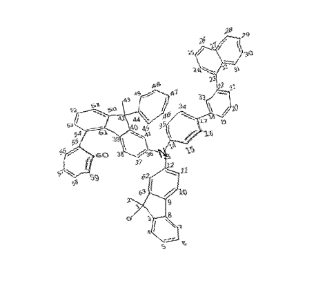 CC1(C)c2ccccc2-c2ccc(N(c3ccc(-c4cccc(-c5cccc6ccccc56)c4)cc3)c3ccc4c(c3)C(C)(c3ccccc3)c3cccc(-c5ccccc5)c3-4)cc21